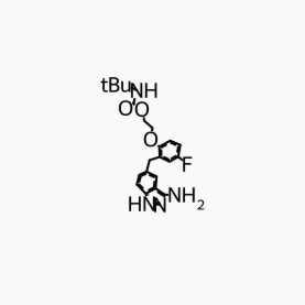 CC(C)(C)NC(=O)OCCOc1ccc(F)cc1Cc1ccc2[nH]nc(N)c2c1